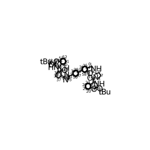 C[C@H](NC(=O)[C@@H]1CCCN1C(=O)[C@H](NC(=O)OC(C)(C)C)c1ccccc1)c1ccc(-c2ccc(-c3cnc([C@@H]4CCCN4C(=O)[C@H](NC(=O)OC(C)(C)C)c4ccccc4)[nH]3)cc2)cc1